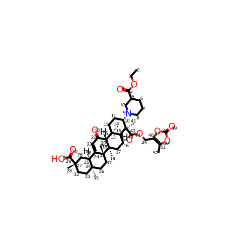 CCOC(=O)C1CCCN([C@H]2CC[C@@]3(C)[C@@H](CC[C@]4(C)[C@@H]3C(=O)C=C3[C@@H]5C[C@@](C)(C(=O)O)CC[C@]5(C)CC[C@]34C)[C@]2(C)C(=O)OCc2oc(=O)oc2C)C1